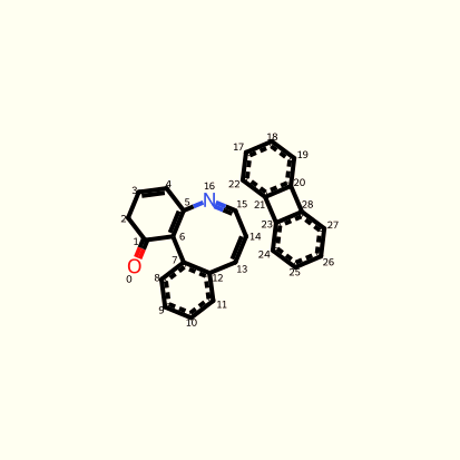 O=C1CC=CC2=C1c1ccccc1C=CC=N2.c1ccc2c(c1)-c1ccccc1-2